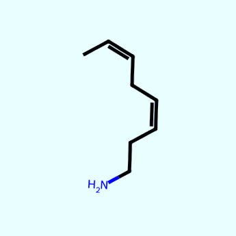 C/C=C\C/C=C\CCN